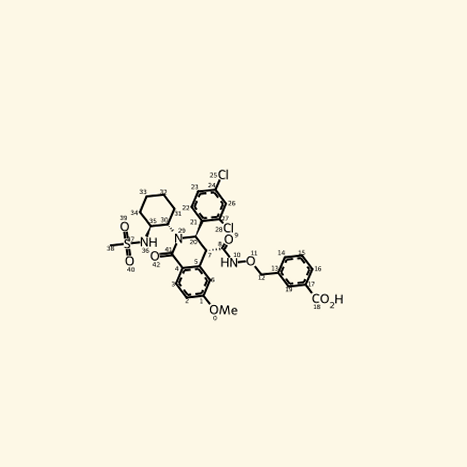 COc1ccc2c(c1)[C@@H](C(=O)NOCc1cccc(C(=O)O)c1)[C@H](c1ccc(Cl)cc1Cl)N([C@H]1CCCC[C@@H]1NS(C)(=O)=O)C2=O